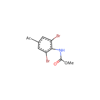 COC(=O)Nc1c(Br)cc(C(C)=O)cc1Br